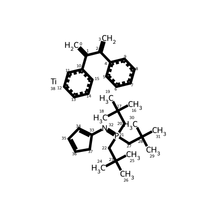 C=C(C(=C)c1ccccc1)c1ccccc1.CC(C)(C)CP(CC(C)(C)C)(CC(C)(C)C)=NC1=CC=CC1.[Ti]